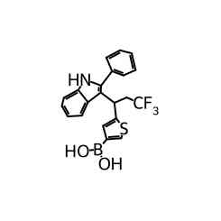 OB(O)c1csc(C(CC(F)(F)F)c2c(-c3ccccc3)[nH]c3ccccc23)c1